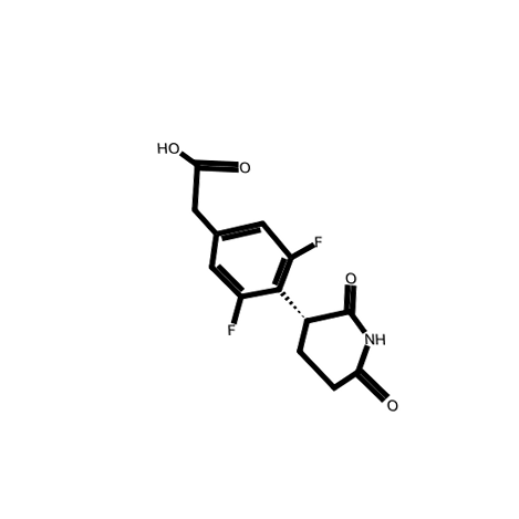 O=C(O)Cc1cc(F)c([C@H]2CCC(=O)NC2=O)c(F)c1